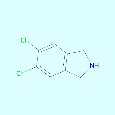 Clc1cc2c(cc1Cl)CNC2